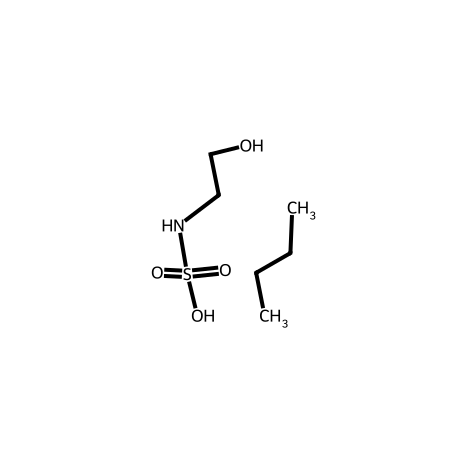 CCCC.O=S(=O)(O)NCCO